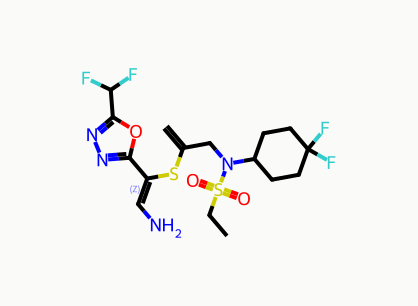 C=C(CN(C1CCC(F)(F)CC1)S(=O)(=O)CC)S/C(=C\N)c1nnc(C(F)F)o1